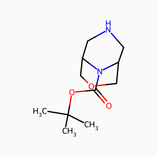 CC(C)(C)OC(=O)N1C2CNCC1COC2